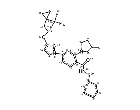 CC1CCN(c2nc(-n3ccc(OCCC4(C(F)(F)F)CC4)n3)ccc2C(=O)NSc2ccccc2)C1